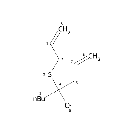 C=CCSC([O])(CC=C)CCCC